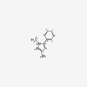 CC(C)c1cc(-c2ccccc2)n(C)n1